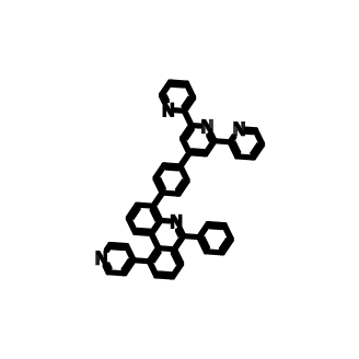 c1ccc(-c2nc3c(-c4ccc(-c5cc(-c6ccccn6)nc(-c6ccccn6)c5)cc4)cccc3c3c(-c4ccncc4)cccc23)cc1